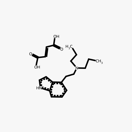 CCCN(CCC)CCc1cccc2[nH]ccc12.O=C(O)C=CC(=O)O